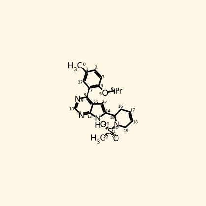 Cc1ccc(OC(C)C)c(-c2ncnc3[nH]c(C4CC=CCN4S(C)(=O)=O)cc23)c1